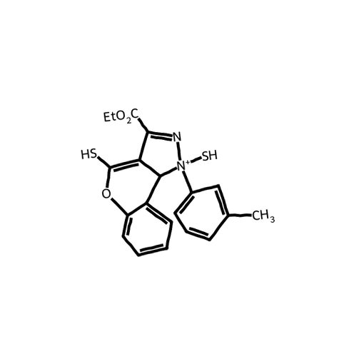 CCOC(=O)C1=N[N+](S)(c2cccc(C)c2)C2C1=C(S)Oc1ccccc12